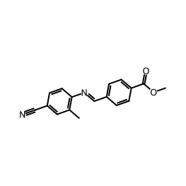 COC(=O)c1ccc(C=Nc2ccc(C#N)cc2C)cc1